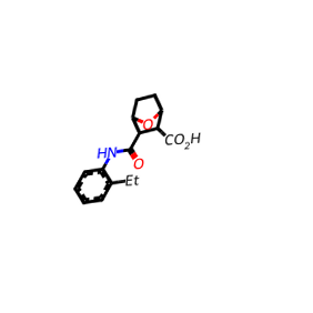 CCc1ccccc1NC(=O)C1C2CCC(O2)C1C(=O)O